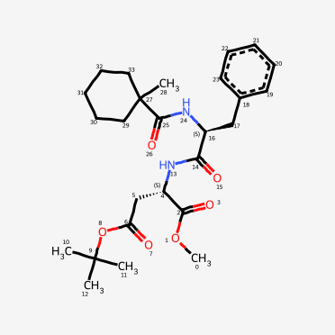 COC(=O)[C@H](CC(=O)OC(C)(C)C)NC(=O)[C@H](Cc1ccccc1)NC(=O)C1(C)CCCCC1